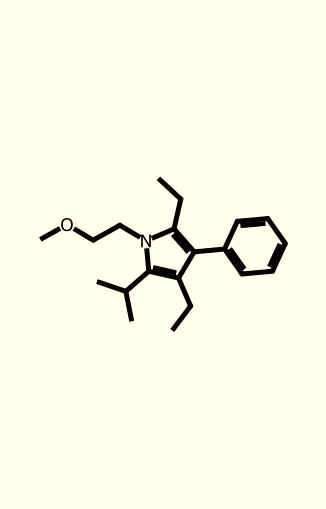 CCc1c(-c2ccccc2)c(CC)n(CCOC)c1C(C)C